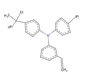 C=Cc1cccc(N(c2ccc(C(C)C)cc2)c2ccc(C(C)(CC)CCC)cc2)c1